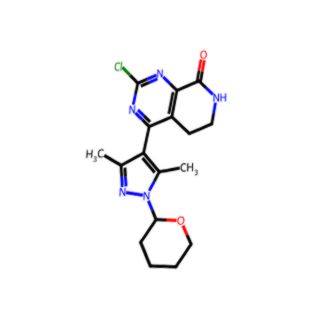 Cc1nn(C2CCCCO2)c(C)c1-c1nc(Cl)nc2c1CCNC2=O